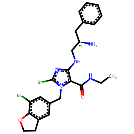 CCNC(=O)c1c(NC[C@H](N)Cc2ccccc2)nc(Br)n1Cc1cc(Br)c2c(c1)CCO2